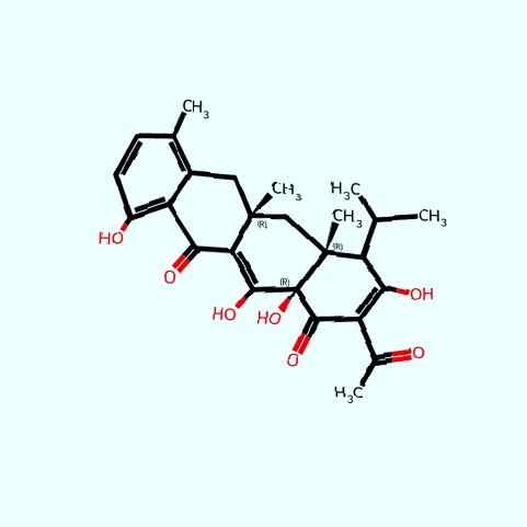 CC(=O)C1=C(O)C(C(C)C)[C@@]2(C)C[C@@]3(C)Cc4c(C)ccc(O)c4C(=O)C3=C(O)[C@@]2(O)C1=O